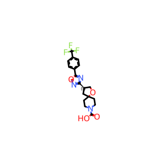 O=C(O)N1CCC2(CC1)C[C@@H](c1noc(-c3ccc(C(F)(F)F)cc3)n1)CO2